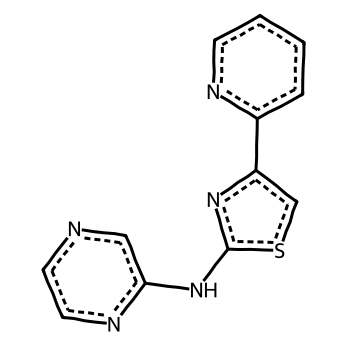 c1ccc(-c2csc(Nc3cnccn3)n2)nc1